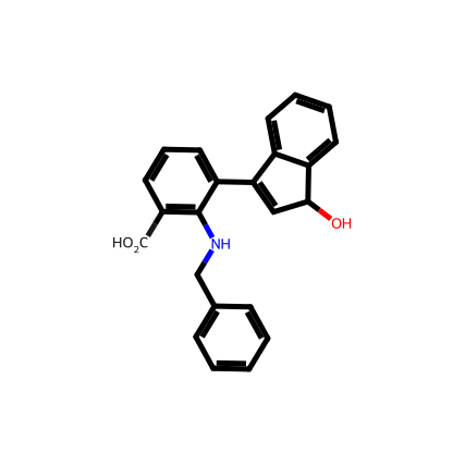 O=C(O)c1cccc(C2=CC(O)c3ccccc32)c1NCc1ccccc1